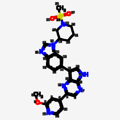 COc1cc(-c2cnc3[nH]cc(-c4ccc5ncn(C6CCCN(S(C)(=O)=O)C6)c5c4)c3n2)ccn1